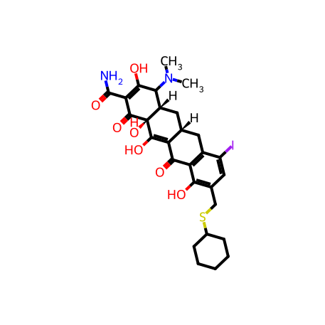 CN(C)C1C(O)=C(C(N)=O)C(=O)[C@@]2(O)C(O)=C3C(=O)c4c(O)c(CSC5CCCCC5)cc(I)c4C[C@H]3C[C@@H]12